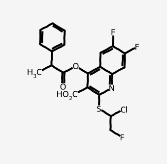 CC(C(=O)Oc1c(C(=O)O)c(SC(Cl)CF)nc2cc(F)c(F)cc12)c1ccccc1